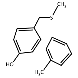 CSCc1ccc(O)cc1.Cc1ccccc1